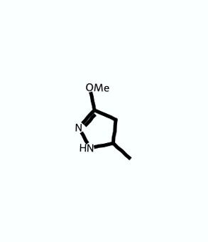 COC1=NNC(C)C1